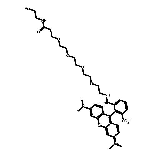 CC(=O)CCNC(=O)CCOCCOCCOCCOCCNC(=O)c1cccc(C(=O)O)c1-c1c2ccc(=[N+](C)C)cc-2oc2cc(N(C)C)ccc12